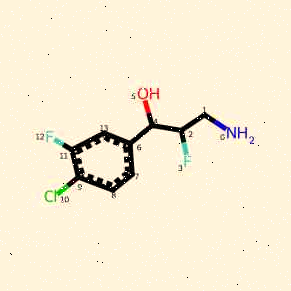 NCC(F)C(O)c1ccc(Cl)c(F)c1